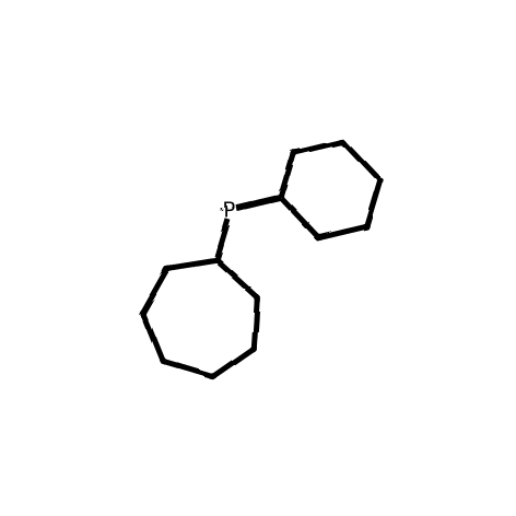 C1CCCC([P]C2CCCCC2)CC1